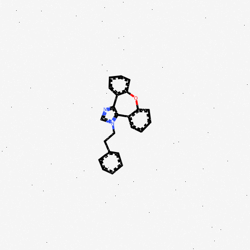 c1ccc(CCn2cnc3c2-c2ccccc2Oc2ccccc2-3)cc1